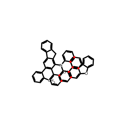 Cc1ccccc1-c1cc2c(c(N(c3ccccc3-c3ccccc3)c3ccccc3-c3cccc4oc5ccccc5c34)c1-c1ccccc1C)Cc1ccccc1-2